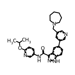 CC(C)Oc1ccc(NC(=O)c2n[nH]c3ccc(-c4cncc(CN5CCCCCC5)c4)cc23)cn1